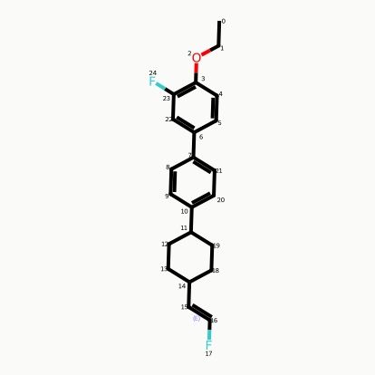 CCOc1ccc(-c2ccc(C3CCC(/C=C/F)CC3)cc2)cc1F